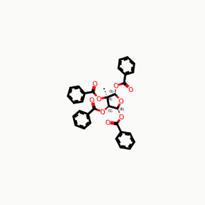 C[C@]1(OC(=O)c2ccccc2)[C@H](OC(=O)c2ccccc2)O[C@H](OC(=O)c2ccccc2)[C@H]1OC(=O)c1ccccc1